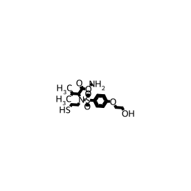 CC(C)C(C(=O)ON)N(CCS)S(=O)(=O)c1ccc(OCCO)cc1